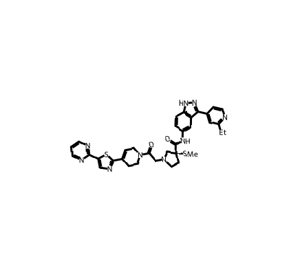 CCc1cc(-c2n[nH]c3ccc(NC(=O)[C@]4(SC)CCN(CC(=O)N5CC=C(c6ncc(-c7ncccn7)s6)CC5)C4)cc23)ccn1